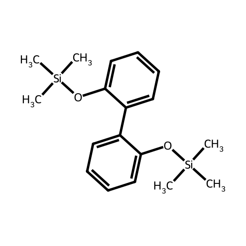 C[Si](C)(C)Oc1ccccc1-c1ccccc1O[Si](C)(C)C